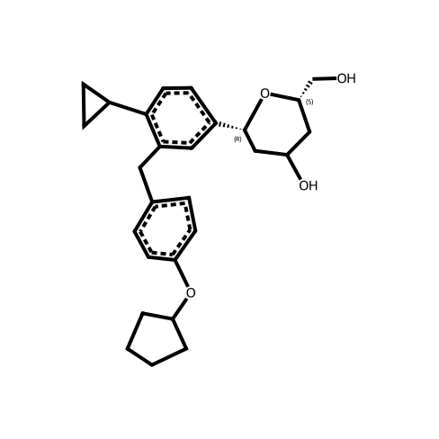 OC[C@@H]1CC(O)C[C@H](c2ccc(C3CC3)c(Cc3ccc(OC4CCCC4)cc3)c2)O1